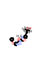 [2H]C([2H])([2H])C(O)(C#Cc1ccc2c(c1)N(C)C(=O)[C@@H](NC(=O)c1cc(Oc3ccccc3)ccn1)CO2)C([2H])([2H])[2H]